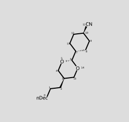 CCCCCCCCCCCC[C@H]1CO[C@H]([C@H]2CC[C@H](C#N)CC2)OC1